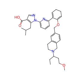 CCC(CCOC)N1CCc2cc(COC3=CCCC=C3c3cccc(-n4ncc(C(=O)O)c4CC(C)C)n3)ccc2C1